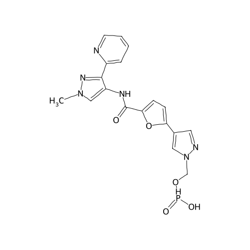 Cn1cc(NC(=O)c2ccc(-c3cnn(CO[PH](=O)O)c3)o2)c(-c2ccccn2)n1